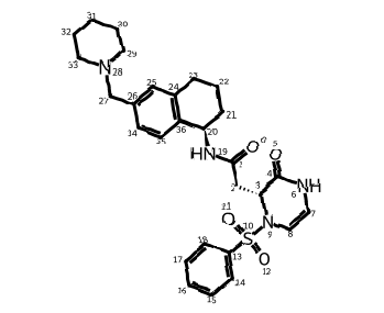 O=C(C[C@@H]1C(=O)NC=CN1S(=O)(=O)c1ccccc1)N[C@@H]1CCCc2cc(CN3CCCCC3)ccc21